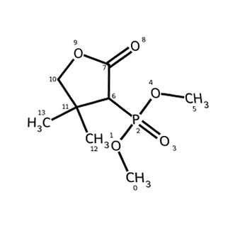 COP(=O)(OC)C1C(=O)OCC1(C)C